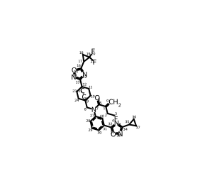 C=C(CCF)C(=O)N(CC12CCC(c3noc(C4CC4(F)F)n3)(CC1)CC2)c1cccc(-c2nc(C3CC3)no2)c1